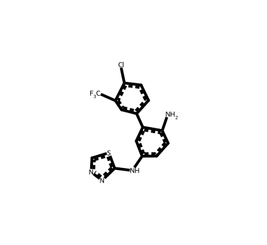 Nc1ccc(Nc2nncs2)cc1-c1ccc(Cl)c(C(F)(F)F)c1